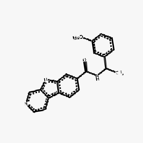 COc1cccc(C(C)NC(=O)c2ccc3c(c2)oc2cnccc23)c1